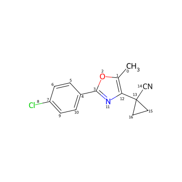 Cc1oc(-c2ccc(Cl)cc2)nc1C1(C#N)CC1